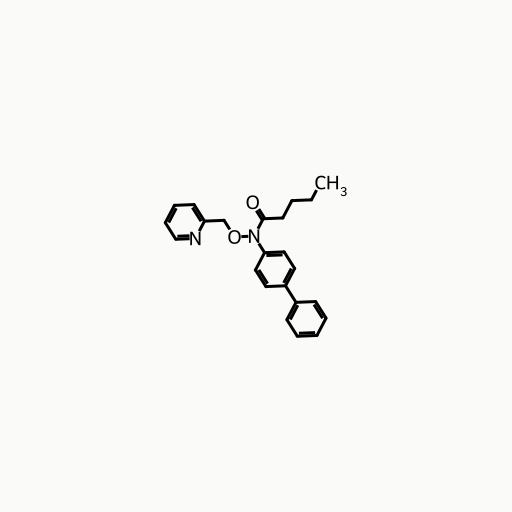 CCCCC(=O)N(OCc1ccccn1)c1ccc(-c2ccccc2)cc1